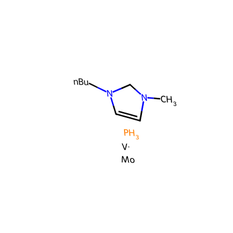 CCCCN1C=CN(C)C1.P.[Mo].[V]